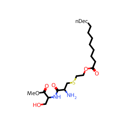 CCCCCCCCCCCCCCCCCC(=O)OCCSCC(N)C(=O)NC(CO)C(=O)OC